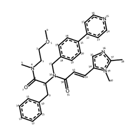 COCCN(C)C(=O)C(Cc1ccccc1)N(Cc1ccc(-c2ccncc2)cc1)C(=O)C=Cc1cnc(C)n1C